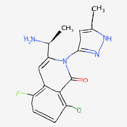 Cc1cc(-n2c([C@H](C)N)cc3c(F)ccc(Cl)c3c2=O)n[nH]1